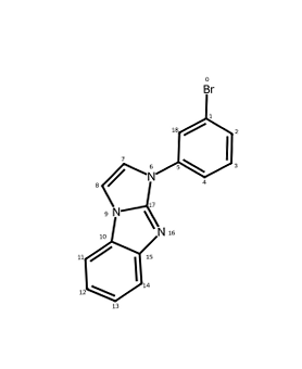 Brc1cccc(-n2ccn3c4ccccc4nc23)c1